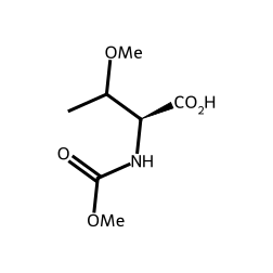 COC(=O)N[C@H](C(=O)O)C(C)OC